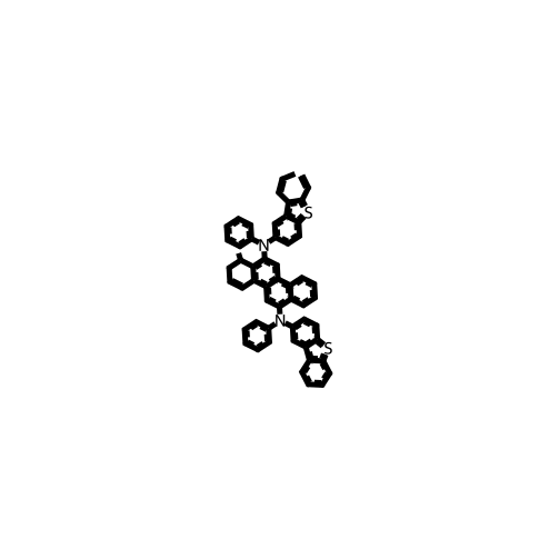 C=Cc1sc2ccc(N(c3ccccc3)c3cc4c(cc(N(c5ccccc5)c5ccc6sc7ccccc7c6c5)c5ccccc54)c4c3C(C)CC=C4)cc2c1/C=C\C